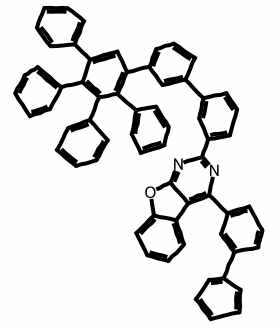 c1ccc(-c2cccc(-c3nc(-c4cccc(-c5cccc(-c6cc(-c7ccccc7)c(-c7ccccc7)c(-c7ccccc7)c6-c6ccccc6)c5)c4)nc4oc5ccccc5c34)c2)cc1